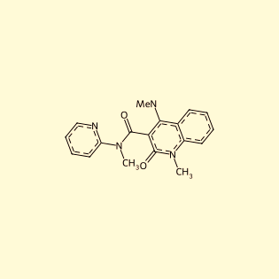 CNc1c(C(=O)N(C)c2ccccn2)c(=O)n(C)c2ccccc12